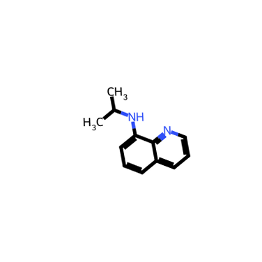 CC(C)Nc1cccc2cccnc12